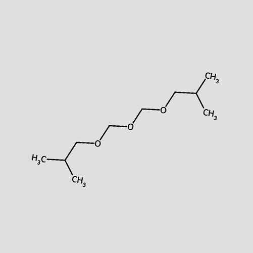 CC(C)COCOCOCC(C)C